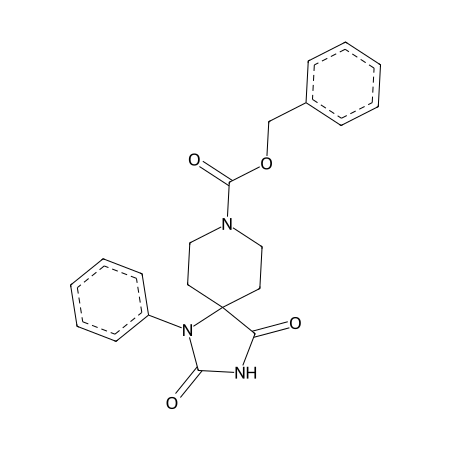 O=C(OCc1ccccc1)N1CCC2(CC1)C(=O)NC(=O)N2c1ccccc1